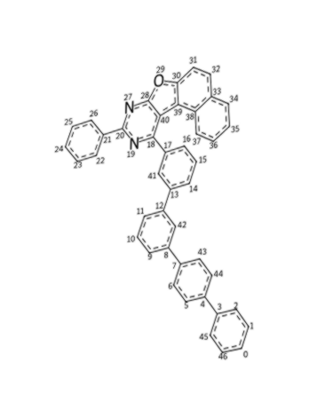 c1ccc(-c2ccc(-c3cccc(-c4cccc(-c5nc(-c6ccccc6)nc6oc7ccc8ccccc8c7c56)c4)c3)cc2)cc1